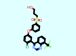 O=S(=O)(CCCO)c1cccc(Oc2ccc(Cl)c(-c3ncnc4c(C(F)(F)F)cccc34)c2)c1